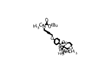 CN(CC#CCOc1ccc(S(=O)(=O)C2(C(=O)NO)SCCOC2(C)C)cc1)C(=O)OC(C)(C)C